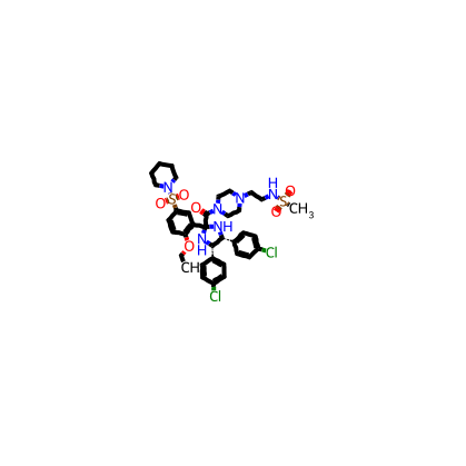 CCOc1ccc(S(=O)(=O)N2CCCCC2)cc1C1(C(=O)N2CCN(CCNS(C)(=O)=O)CC2)N[C@H](c2ccc(Cl)cc2)[C@H](c2ccc(Cl)cc2)N1